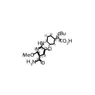 COc1nc(N[C@H]2CC[C@H](N(C(=O)O)C(C)(C)C)CC2)c(Cl)cc1C(N)=O